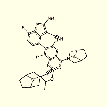 CC(CN1C2CCC1CC(C#N)C2)Oc1nc(N2CC3CCC(C2)N3)c2cc(Cl)c(-c3ccc(F)c4sc(N)c(C#N)c34)c(F)c2n1